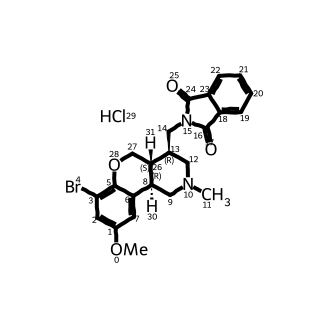 COc1cc(Br)c2c(c1)[C@@H]1CN(C)C[C@H](CN3C(=O)c4ccccc4C3=O)[C@H]1CO2.Cl